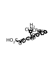 Nc1c(Cl)cc(C[C@@H](OC(=O)N2CCC(N3CCc4ccccc4NC3=O)CC2)C(=O)N2CCC(N3CCN(C(=O)CCC(=O)O)CC3)CC2)cc1C(F)(F)F